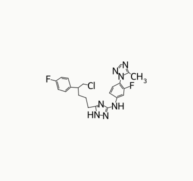 Cc1ncnn1-c1ccc(Nc2n[nH]c(CCCC(CCl)c3ccc(F)cc3)n2)cc1F